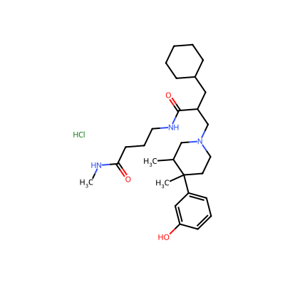 CNC(=O)CCCNC(=O)C(CC1CCCCC1)CN1CCC(C)(c2cccc(O)c2)C(C)C1.Cl